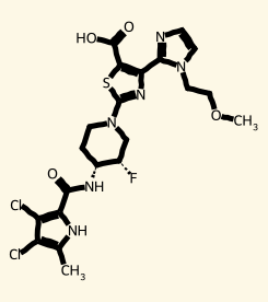 COCCn1ccnc1-c1nc(N2CC[C@@H](NC(=O)c3[nH]c(C)c(Cl)c3Cl)[C@@H](F)C2)sc1C(=O)O